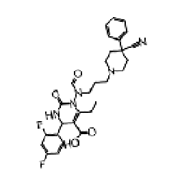 CCC1=C(C(=O)O)C(c2ccc(F)cc2F)NC(=O)N1N(C=O)CCCN1CCC(C#N)(c2ccccc2)CC1